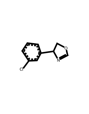 Clc1cccc(C2CO[C]=N2)c1